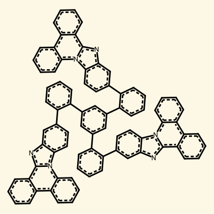 c1ccc(-c2ccc3c(c2)nc2c4ccccc4c4ccccc4n32)c(-c2cc(-c3ccccc3-c3ccc4c(c3)nc3c5ccccc5c5ccccc5n43)cc(-c3ccccc3-c3ccc4c(c3)nc3c5ccccc5c5ccccc5n43)c2)c1